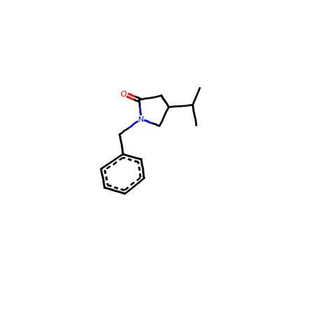 CC(C)C1CC(=O)N(Cc2ccccc2)C1